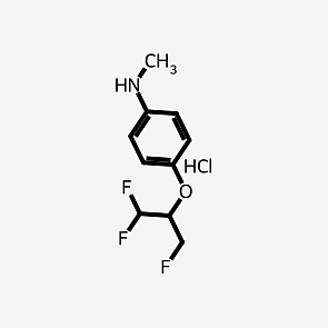 CNc1ccc(OC(CF)C(F)F)cc1.Cl